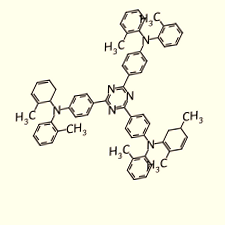 CC1=CC=CCC1N(c1ccc(-c2nc(-c3ccc(N(C4=C(C)C=CC(C)C4)c4ccccc4C)cc3)nc(-c3ccc(N(c4ccccc4C)c4ccccc4C)cc3)n2)cc1)c1ccccc1C